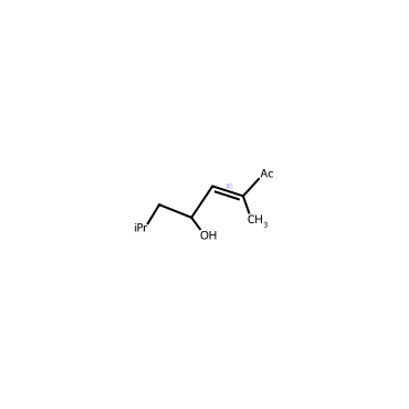 CC(=O)/C(C)=C/C(O)CC(C)C